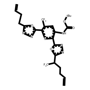 C=CCCc1nnc(-c2nc(-c3nnc(C(CCC=C)C(F)(F)F)o3)c(NC(=O)OC(C)(C)C)cc2C(F)(F)F)o1